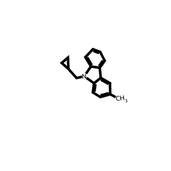 Cc1ccc2c(c1)c1ccccc1n2CC1CC1